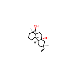 C=C[C@@]1(C)CC[C@@H]2[C@](O)(CC[C@@H]3[C@](C)(CO)CCC[C@]32C)C1